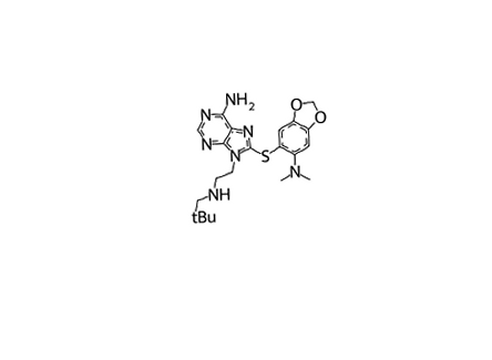 CN(C)c1cc2c(cc1Sc1nc3c(N)ncnc3n1CCNCC(C)(C)C)OCO2